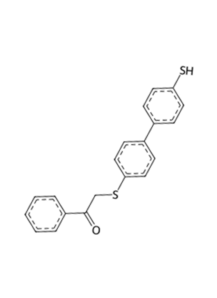 O=C(CSc1ccc(-c2ccc(S)cc2)cc1)c1ccccc1